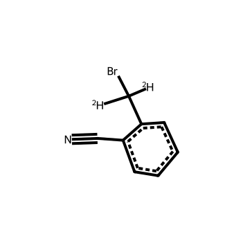 [2H]C([2H])(Br)c1ccccc1C#N